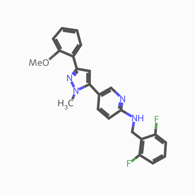 COc1ccccc1-c1cc(-c2ccc(NCc3c(F)cccc3F)nc2)n(C)n1